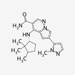 CC1CC[C@@H](Nc2c(C(N)=O)cnn3cc(-c4ccnn4C)cc23)C1(C)C